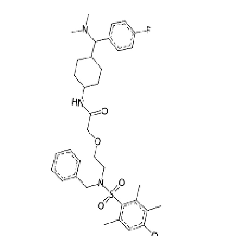 COc1cc(C)c(S(=O)(=O)N(CCOCC(=O)NC2CCC(C(c3ccc(F)cc3)N(C)C)CC2)Cc2ccccc2)c(C)c1C